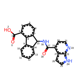 O=C(O)c1cccc2c1-c1ccccc1C2NC(=O)c1ccnc2[nH]ccc12